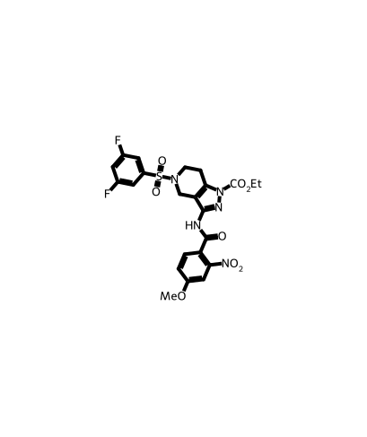 CCOC(=O)n1nc(NC(=O)c2ccc(OC)cc2[N+](=O)[O-])c2c1CCN(S(=O)(=O)c1cc(F)cc(F)c1)C2